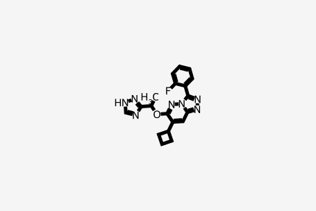 CC(Oc1nn2c(-c3ccccc3F)nnc2cc1C1CCC1)c1nc[nH]n1